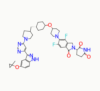 CC1(Oc2ccc3[nH]nc(-c4cc(N5CCC(C[C@H]6CC[C@H](OC7CCN(c8c(F)cc9c(c8F)CN(C8CCC(=O)NC8=O)C9=O)CC7)CC6)CC5)ncn4)c3c2)CC1